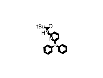 CC(C)(C)C(=O)Nc1cccc(P(c2ccccc2)c2ccccc2)n1